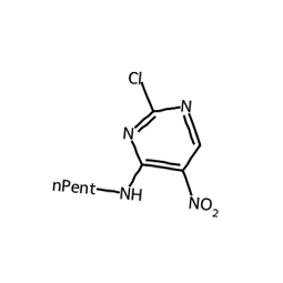 CCCCCNc1nc(Cl)ncc1[N+](=O)[O-]